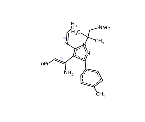 C/C=N\c1c(/C(N)=C/CCC)c(-c2ccc(C)cc2)nn1C(C)(C)CNC